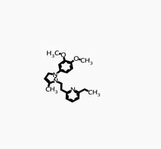 CCc1cccc(CCN2C(C)=CCN2c2ccc(OC)c(OC)c2)n1